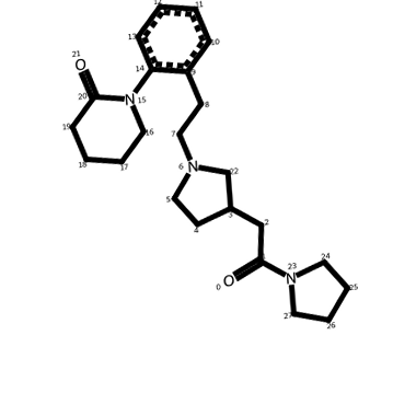 O=C(CC1CCN(CCc2ccccc2N2CCCCC2=O)C1)N1CCCC1